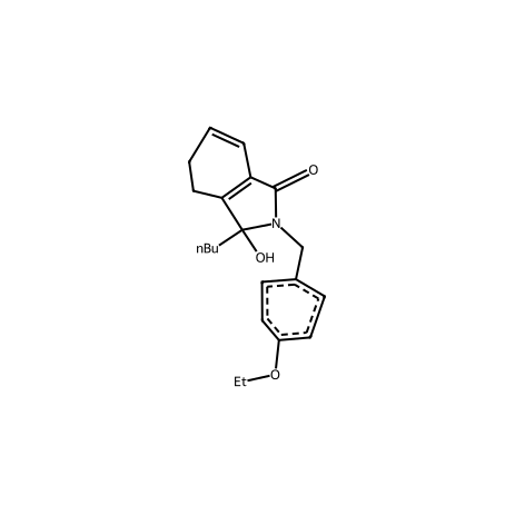 CCCCC1(O)C2=C(C=CCC2)C(=O)N1Cc1ccc(OCC)cc1